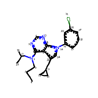 CCCN(c1ncnc2c1c(C1CC1)cn2-c1cccc(Cl)c1)C(C)C